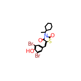 CC(C1CCCCC1)N1C(=O)SC(=Cc2cc(Br)c(O)c(Br)c2)C1=O